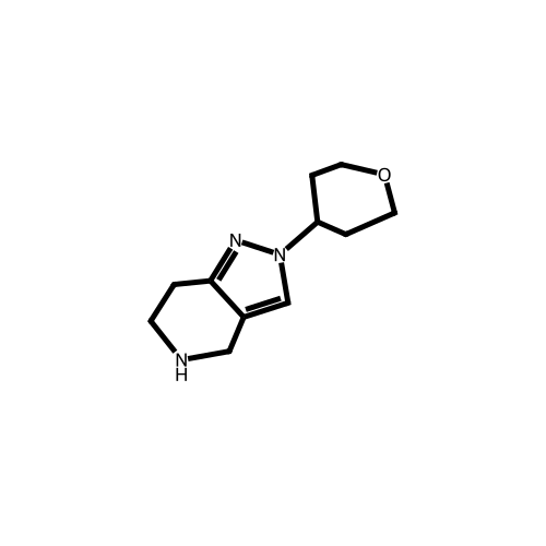 c1c2c(nn1C1CCOCC1)CCNC2